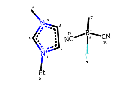 CC[n+]1ccn(C)c1.C[B-](F)(C#N)C#N